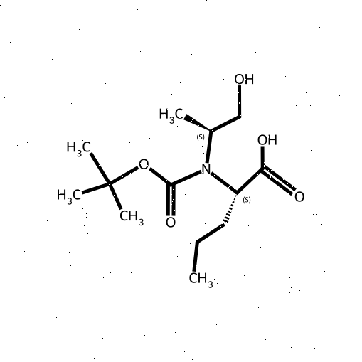 CCC[C@@H](C(=O)O)N(C(=O)OC(C)(C)C)[C@@H](C)CO